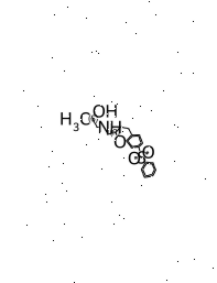 C[C@H](O)CNC[C@H]1CCc2ccc(S(=O)(=O)c3ccccc3)cc2O1